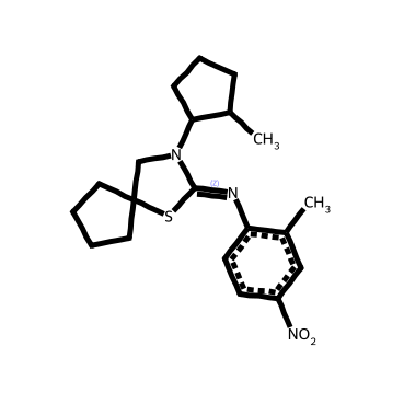 Cc1cc([N+](=O)[O-])ccc1/N=C1\SC2(CCCC2)CN1C1CCCC1C